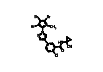 Cn1c(Br)c(Br)c(Br)c1-n1cc(-c2ccc(Cl)c(C(=O)NC3(C#N)CC3)c2)cn1